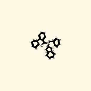 O=C(c1ccccc1-c1ccccc1)N(Cc1ccccc1)C1Cc2ccccc2C1